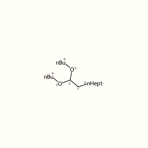 CCCCCC[CH]CC(OCCCC)OCCCC